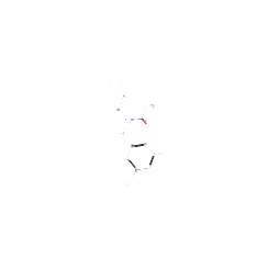 CC(C)COC(=O)N(CCO)Cc1cccc(F)c1